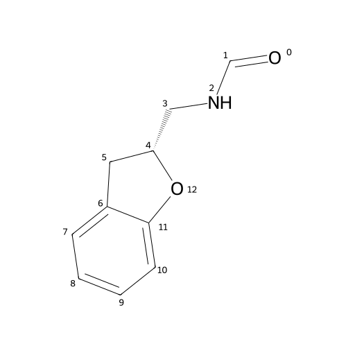 O=CNC[C@H]1Cc2ccccc2O1